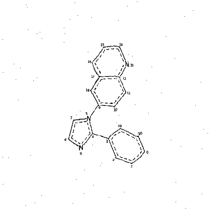 c1ccc(-c2nccn2-c2ccc3ncccc3c2)cc1